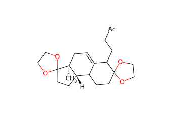 CC(=O)CCC1C2=CC[C@@]3(C)[C@@H](CCC34OCCO4)C2CCC12OCCO2